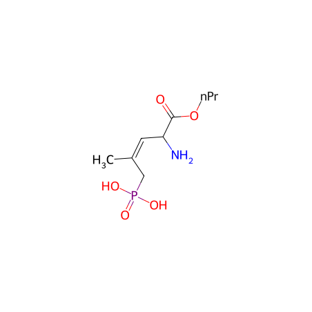 CCCOC(=O)C(N)C=C(C)CP(=O)(O)O